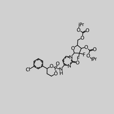 CC(C)OC(=O)OCC1OC(n2ccc(NP3(=O)OCCC(c4cccc(Cl)c4)O3)nc2=O)C(F)(F)C1OC(=O)OC(C)C